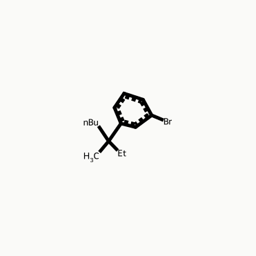 CCCCC(C)(CC)c1cccc(Br)c1